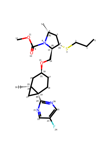 CCCS[C@H]1C[C@@H](C)N(C(=O)OC)[C@@H]1CO[C@H]1CC[C@@]2(c3ncc(F)cn3)C[C@H]2C1